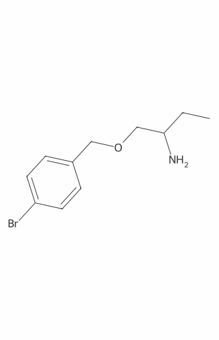 CCC(N)COCc1ccc(Br)cc1